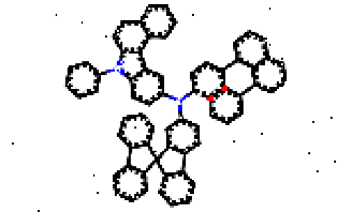 c1ccc(-c2cccc3cccc(-c4ccc(N(c5ccc6c(c5)C5(c7ccccc7-c7ccccc75)c5ccccc5-6)c5ccc6c(c5)c5c7ccccc7ccc5n6-c5ccccc5)cc4)c23)cc1